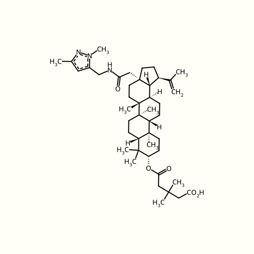 C=C(C)[C@@H]1CC[C@]2(CC(=O)NCc3cc(C)nn3C)CC[C@]3(C)[C@H](CC[C@@H]4[C@@]5(C)CC[C@H](OC(=O)CC(C)(C)CC(=O)O)C(C)(C)[C@@H]5CC[C@]43C)[C@@H]12